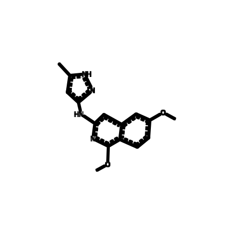 COc1ccc2c(OC)nc(Nc3cc(C)[nH]n3)cc2c1